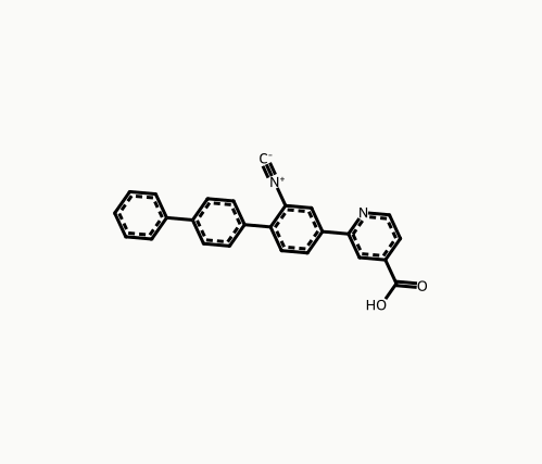 [C-]#[N+]c1cc(-c2cc(C(=O)O)ccn2)ccc1-c1ccc(-c2ccccc2)cc1